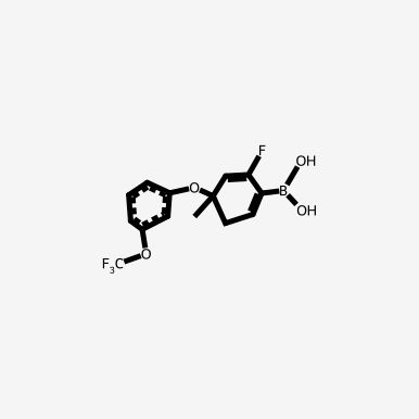 CC1(Oc2cccc(OC(F)(F)F)c2)C=C(F)C(B(O)O)=CC1